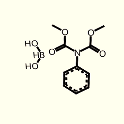 COC(=O)N(C(=O)OC)c1ccccc1.OBO